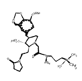 CCCCN(CCC[N+](C)(C)C)C(=O)CN1C[C@H](c2cc(OC)c3c(c2)OCO3)[C@@H](C(=O)O)[C@@H]1CCN1CCCC1=O